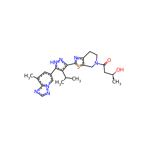 Cc1cc(-c2[nH]nc(-c3nc4c(s3)CN(C(=O)C[C@H](C)O)CC4)c2C(C)C)cn2ncnc12